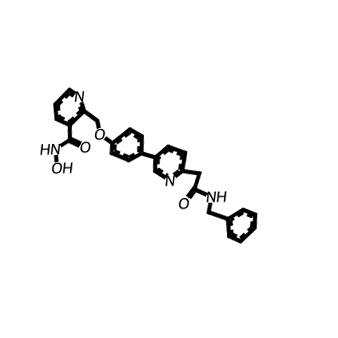 O=C(Cc1ccc(-c2ccc(OCc3ncccc3C(=O)NO)cc2)cn1)NCc1ccccc1